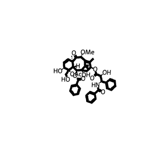 CO[C@H]1C(=O)[C@]2(C)C=C[C@@H](O)[C@](CO)(OC(C)=O)[C@H]2[C@H](OC(=O)c2ccccc2)[C@]2(O)C[C@H](OC(=O)[C@H](O)[C@@H](NC(=O)c3ccccc3)c3ccccc3)C(C)=C1C2(C)C